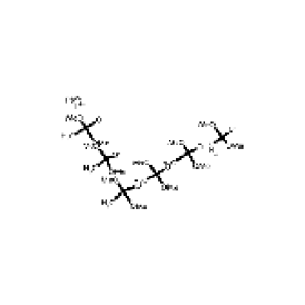 COC(C)([O-])OC.COC(C)([O-])OC.COC(C)([O-])OC.COC(C)([O-])OC.COC(C)([O-])OC.COC(C)([O-])OC.[Pb+2].[Ti+4]